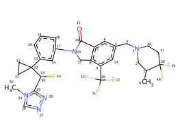 CC1CN(Cc2cc3c(c(C(F)(F)F)c2)CN(c2cccc(C4([C@@H](F)c5nncn5C)CC4)c2)C3=O)CCC1(F)F